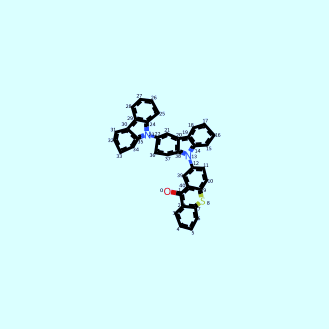 O=c1c2ccccc2sc2ccc(-n3c4ccccc4c4cc(-n5c6ccccc6c6ccccc65)ccc43)cc12